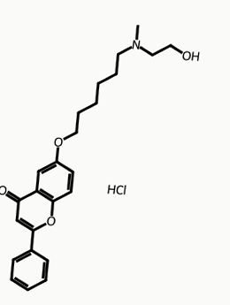 CN(CCO)CCCCCCOc1ccc2oc(-c3ccccc3)cc(=O)c2c1.Cl